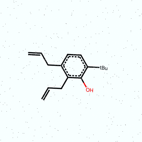 C=CCc1ccc(C(C)(C)C)c(O)c1CC=C